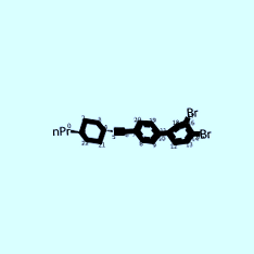 CCC[C@H]1CC[C@H](C#Cc2ccc(-c3ccc(Br)c(Br)c3)cc2)CC1